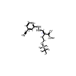 COC(=O)/C(=C/NNc1cc(C#N)ccn1)CCO[Si](C)(C)C(C)(C)C